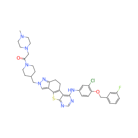 CN1CCN(CC(=O)N2CCC(Cn3cc4c(n3)CCc3c-4sc4ncnc(Nc5ccc(OCc6cccc(F)c6)c(Cl)c5)c34)CC2)CC1